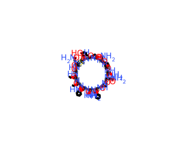 CCCC[C@@H]1C(=O)N(C)[C@H](CCCC)C(=O)N[C@@H](C)C(=O)N[C@@H](C(=O)NCC(N)=O)CSCC(=O)N[C@@H](Cc2ccc(O)cc2)C(=O)N2CCCC2C(=O)N[C@H](CC(N)=O)C(=O)N2CCC[C@H]2C(=O)N[C@H](CN)C(=O)N[C@@H](CCC(N)=O)C(=O)N2CCCC2C(=O)N[C@H](Cc2c[nH]c3ccccc23)C(=O)N[C@@H](CCN)C(=O)N[C@@H](Cc2c[nH]c3ccccc23)C(=O)N1C